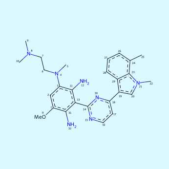 COc1cc(N(C)CCN(C)C)c(N)c(-c2nccc(-c3cn(C)c4c(C)cccc34)n2)c1N